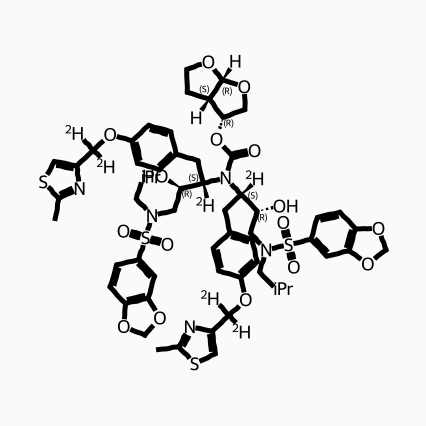 [2H]C([2H])(Oc1ccc(C[C@@]([2H])([C@H](O)CN(CC(C)C)S(=O)(=O)c2ccc3c(c2)OCO3)N(C(=O)O[C@H]2CO[C@H]3OCC[C@H]32)[C@@]([2H])(Cc2ccc(OC([2H])([2H])c3csc(C)n3)cc2)[C@H](O)CN(CC(C)C)S(=O)(=O)c2ccc3c(c2)OCO3)cc1)c1csc(C)n1